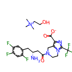 C[N+](C)(C)CCO.N[C@@H](CC(=O)N1CCn2c(C(F)(F)F)nc(C(=O)[O-])c2C1)Cc1cc(F)c(F)cc1F